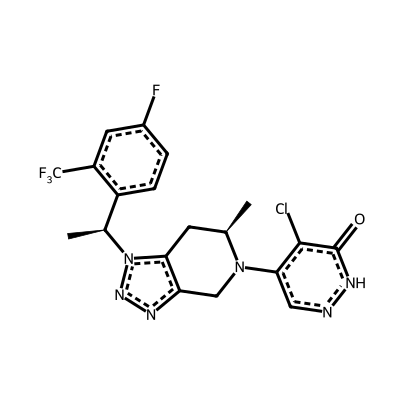 C[C@@H]1Cc2c(nnn2[C@@H](C)c2ccc(F)cc2C(F)(F)F)CN1c1cn[nH]c(=O)c1Cl